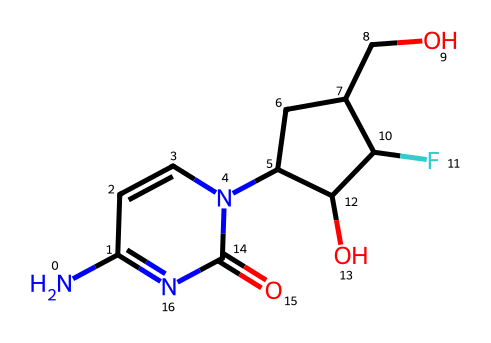 Nc1ccn(C2CC(CO)C(F)C2O)c(=O)n1